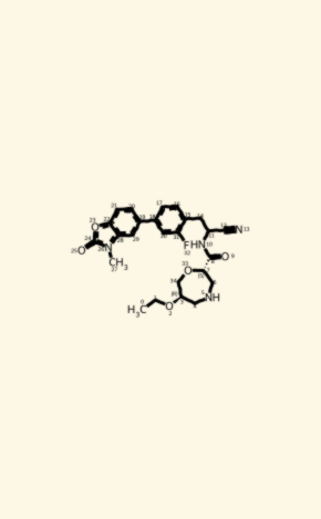 CCO[C@@H]1CNC[C@@H](C(=O)NC(C#N)Cc2ccc(-c3ccc4oc(=O)n(C)c4c3)cc2F)OC1